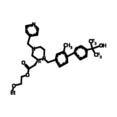 CCOCCOC(=O)C[C@H]1CN(Cc2ccncc2)CCN1Cc1ccc(-c2ccc(C(O)(C(F)(F)F)C(F)(F)F)cc2)c(C)c1